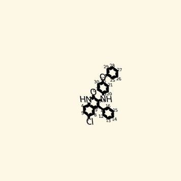 O=c1[nH]c2ccc(Cl)cc2c(-c2ccccc2)c1Nc1ccc(Oc2ccccc2)cc1